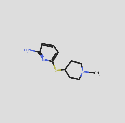 CN1CCC(Sc2cccc(N)n2)CC1